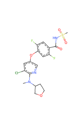 CN(c1ncc(Oc2cc(F)c(C(=O)NS(C)(=O)=O)cc2F)cc1Cl)C1CCOC1